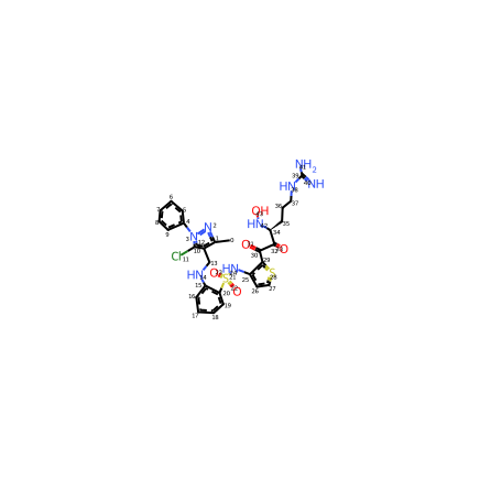 Cc1nn(-c2ccccc2)c(Cl)c1CNc1ccccc1S(=O)(=O)Nc1ccsc1C(=O)C(=O)[C@H](CCCNC(=N)N)NO